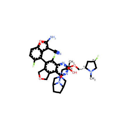 C[C@@H](O)CN1CC2CCC(C1)N2c1nc(OC[C@@H]2C[C@@H](F)CN2C)nc2c(F)c(-c3c(F)ccc4oc(N)c(C#N)c34)c3c(c12)COC3